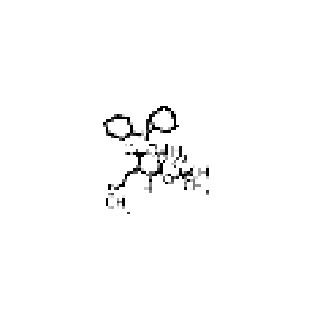 C1CCC(NC2CCCCC2)CC1.CSCC[C@H](NC(=O)OC(C)(C)C)C(=O)O